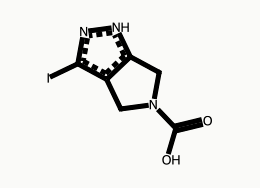 O=C(O)N1Cc2[nH]nc(I)c2C1